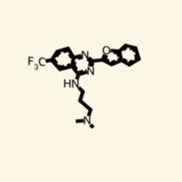 CN(C)CCCNc1nc(-c2cc3ccccc3o2)nc2ccc(C(F)(F)F)cc12